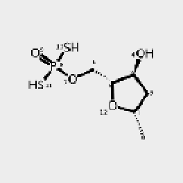 C[C@H]1C[C@H](O)[C@@H](COP(=O)(S)S)O1